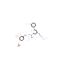 COc1cc(C(=O)NCC(c2cc(CCCN)cc(-c3ccc(F)c(Cl)c3)n2)C(F)(F)F)ccc1OC1CC1